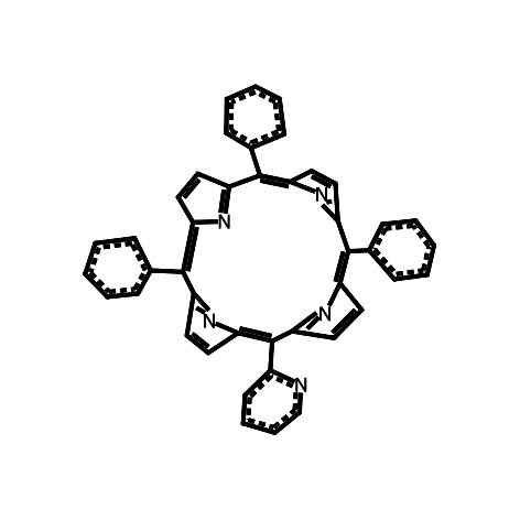 C1=CC2=C(c3ccccc3)C3=NC(=C(c4ccccn4)C4=NC(=C(c5ccccc5)C5=NC(=C(c6ccccc6)C1=N2)C=C5)C=C4)C=C3